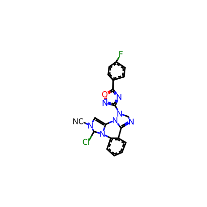 N#CN1C=C2N(c3ccccc3C3=NCN(c4noc(-c5ccc(F)cc5)n4)N23)C1Cl